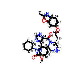 COC(=O)N[C@H]1CCCC[C@@H]1n1cnc(C(=O)N2CCNC[C@H]2CCOc2ccc3nc(C)oc3c2)c1-c1ccccc1